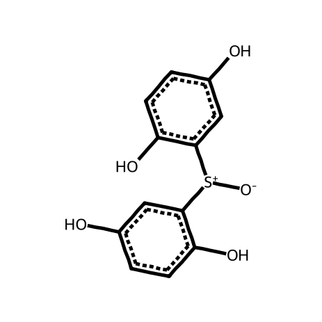 [O-][S+](c1cc(O)ccc1O)c1cc(O)ccc1O